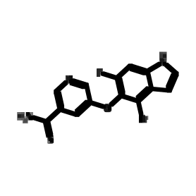 NC(=S)c1cncc(Oc2c(F)cc3[nH]ccc3c2Br)c1